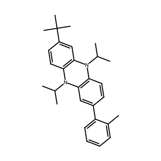 Cc1ccccc1-c1ccc2c(c1)N(C(C)C)c1ccc(C(C)(C)C)cc1N2C(C)C